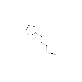 OCCCNC1CCCC1